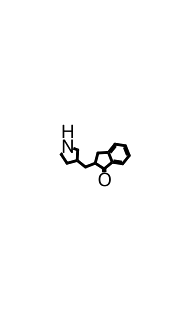 O=C1c2ccccc2CC1CC1CCNC1